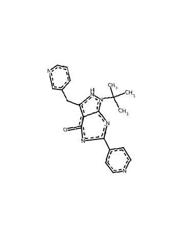 CC(C)(C)n1[nH]c(Cc2cccnc2)c2c(=O)nc(-c3ccncc3)nc1-2